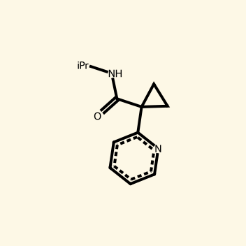 CC(C)NC(=O)C1(c2ccccn2)CC1